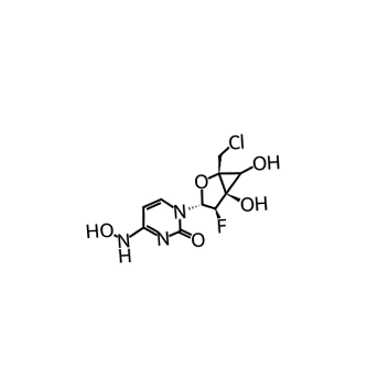 O=c1nc(NO)ccn1[C@@H]1O[C@]2(CCl)C(O)[C@]2(O)[C@H]1F